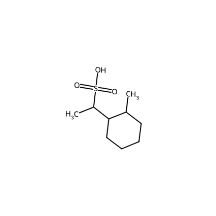 CC1CCCCC1C(C)S(=O)(=O)O